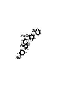 COc1cc(N2CCCOC2=O)cnc1N1CCC[C@]2(CCN([C@H]3CC[C@@H](O)CC3)C2=O)C1